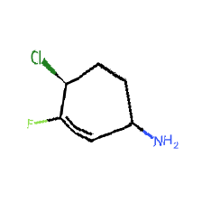 NC1C=C(F)[C@@H](Cl)CC1